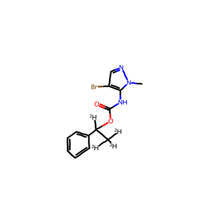 [2H]C([2H])([2H])C([2H])(OC(=O)Nc1c(Br)cnn1C)c1ccccc1